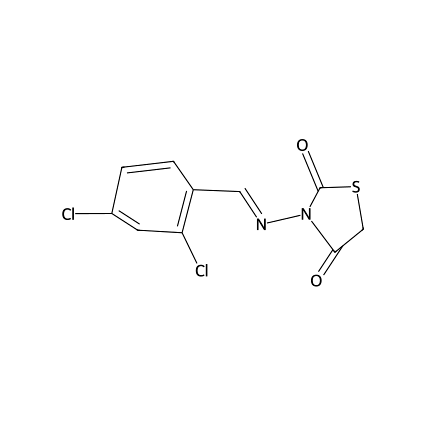 O=C1CSC(=O)N1N=Cc1ccc(Cl)cc1Cl